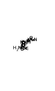 CC(C)Oc1cc2c(O[C@H]3CCN(C(=O)CC#N)[C@@H]3C)ccnc2cc1C(N)=O